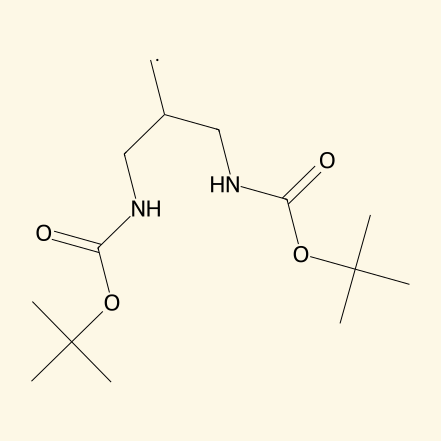 [CH2]C(CNC(=O)OC(C)(C)C)CNC(=O)OC(C)(C)C